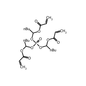 C=CC(=O)OC(CCCC)OP(=O)(OC(CCCC)OC(=O)C=C)OC(CCCC)OC(=O)C=C